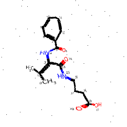 CC(C)=C(NC(=O)c1ccccc1)C(=O)NCCCC(=O)O